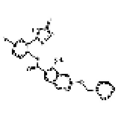 Cn1c(C(=O)Nc2ccc(Br)cc2-c2noc(=O)[nH]2)cc2ccc(OCc3ccccc3)cc21